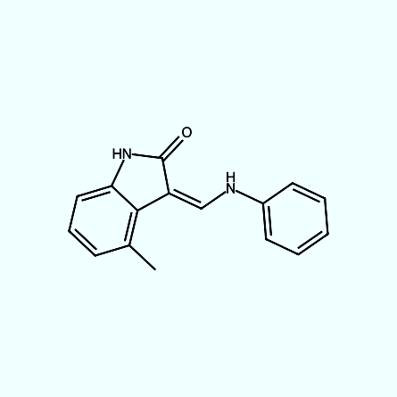 Cc1cccc2c1C(=CNc1ccccc1)C(=O)N2